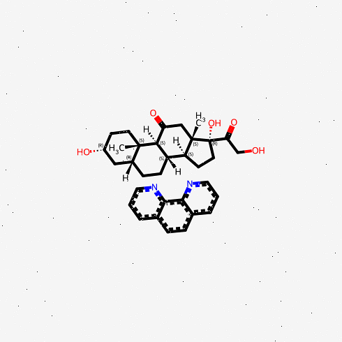 C[C@]12CC[C@@H](O)C[C@H]1CC[C@@H]1[C@@H]2C(=O)C[C@@]2(C)[C@H]1CC[C@]2(O)C(=O)CO.c1cnc2c(c1)ccc1cccnc12